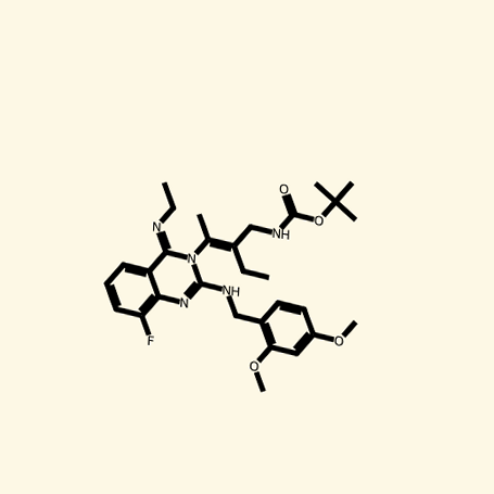 CC/N=c1/c2cccc(F)c2nc(NCc2ccc(OC)cc2OC)n1/C(C)=C(\CC)CNC(=O)OC(C)(C)C